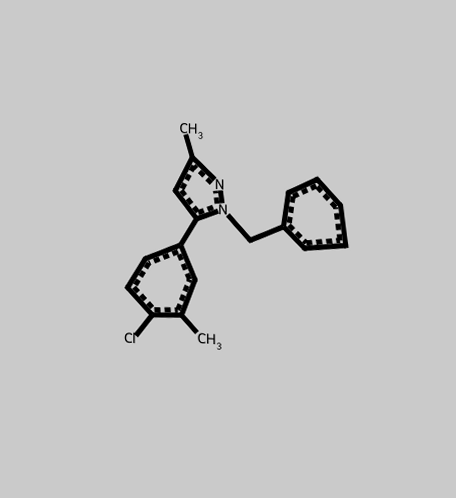 Cc1cc(-c2ccc(Cl)c(C)c2)n(Cc2ccccc2)n1